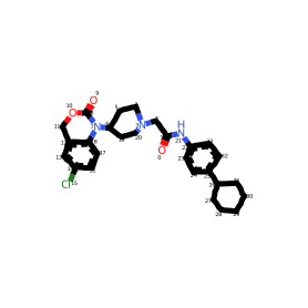 O=C(CN1CCC(N2C(=O)OCc3cc(Cl)ccc32)CC1)Nc1ccc(C2CCCCC2)cc1